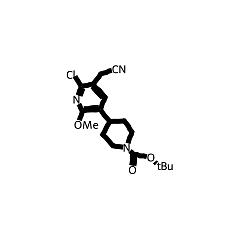 COc1nc(Cl)c(CC#N)cc1C1CCN(C(=O)OC(C)(C)C)CC1